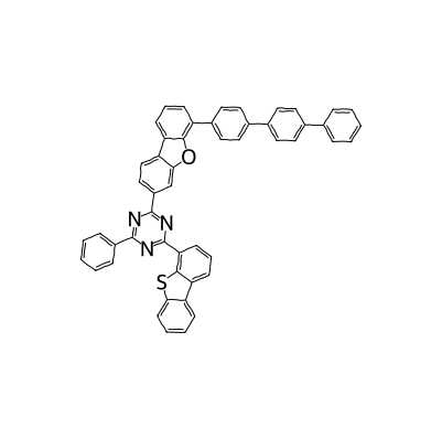 c1ccc(-c2ccc(-c3ccc(-c4cccc5c4oc4cc(-c6nc(-c7ccccc7)nc(-c7cccc8c7sc7ccccc78)n6)ccc45)cc3)cc2)cc1